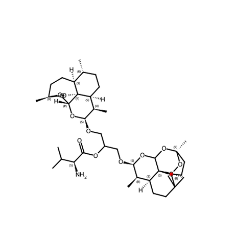 CC(C)[C@H](N)C(=O)OC(CO[C@H]1O[C@@H]2O[C@@]3(C)CC[C@H]4[C@H](C)CC[C@@H]([C@H]1C)[C@@]24OO3)CO[C@H]1OC2O[C@@]3(C)CC[C@@]45CC4(C)CC[C@@H]([C@H]1C)[C@@]25OO3